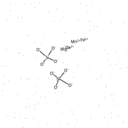 [Ca+2].[Fe+2].[Mg+2].[Mn+2].[O-][Si]([O-])([O-])[O-].[O-][Si]([O-])([O-])[O-]